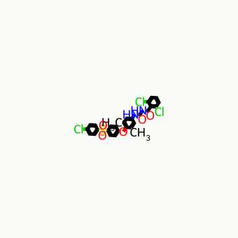 Cc1cc(NC(=O)NC(=O)c2c(Cl)cccc2Cl)cc(C)c1Oc1ccc(S(=O)(=O)c2ccc(Cl)cc2)cc1